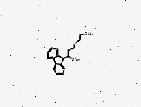 COCCOCC[C](OC)C1c2ccccc2-c2ccccc21